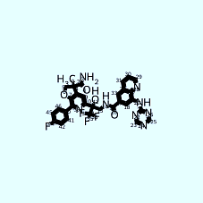 C[C@]1(C(N)=O)COc2c1cc(C(O)(CNC(=O)c1cc(Nc3ncncn3)c3ncccc3c1)C(F)(F)F)nc2-c1ccc(F)cc1